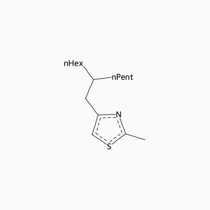 CCCCCCC(CCCCC)Cc1csc(C)n1